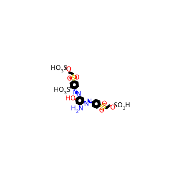 Nc1cc(O)c(/N=N/c2ccc(S(=O)(=O)CCOS(=O)(=O)O)cc2S(=O)(=O)O)cc1/N=N/c1ccc(S(=O)(=O)CCOS(=O)(=O)O)cc1